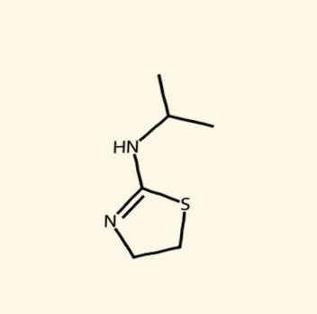 CC(C)NC1=NCCS1